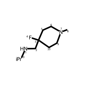 CC(C)NCC1(F)CCN(C)CC1